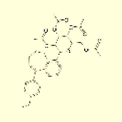 CCc1ccc(C2=CCCCc3c2cccc3C2OC(COC(C)=O)C(OC(C)=O)C(OC(C)=O)C2OC(C)=O)cc1